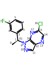 C[C@@H](c1cccc(F)c1)n1ncc2ncc(Cl)nc21